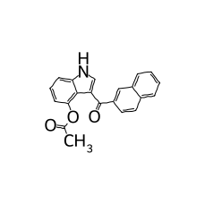 CC(=O)Oc1cccc2[nH]cc(C(=O)c3ccc4ccccc4c3)c12